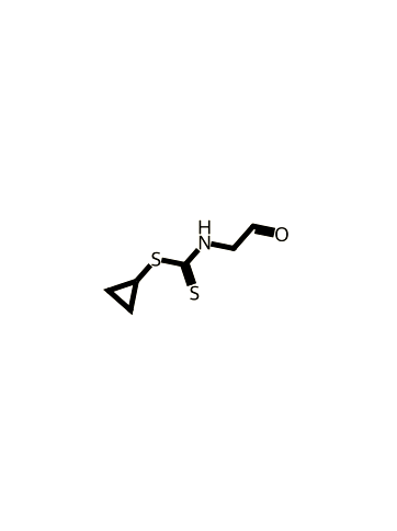 O=CCNC(=S)SC1CC1